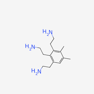 Cc1cc(CCN)c(CCN)c(CCN)c1C